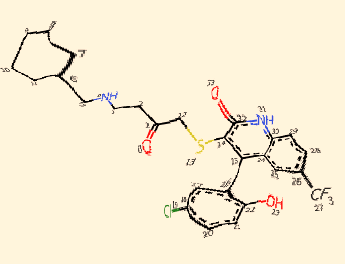 O=C(CCNCC1CCCCC1)CSc1c(-c2cc(Cl)ccc2O)c2cc(C(F)(F)F)ccc2[nH]c1=O